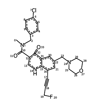 CN(Cc1ccc(Cl)cc1)C(=O)c1c[nH]c2c(C#CCF)cc(CN3CCOCC3)cc2c1=O